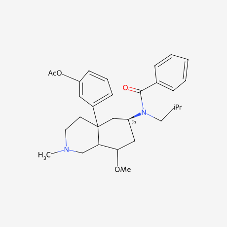 COC1C[C@H](N(CC(C)C)C(=O)c2ccccc2)CC2(c3cccc(OC(C)=O)c3)CCN(C)CC12